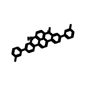 Cc1cccc(-c2ccc3c(c2)Nc2ccc4c5c(ccc-3c25)-c2ccc(-c3cccc(C)c3)cc2N4C)c1